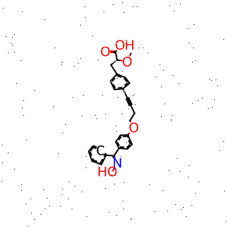 CO[C@@H](Cc1ccc(C#CCCOc2ccc(/C(=N/O)c3ccccc3)cc2)cc1)C(=O)O